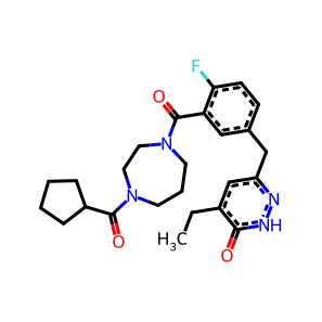 CCc1cc(Cc2ccc(F)c(C(=O)N3CCCN(C(=O)C4CCCC4)CC3)c2)n[nH]c1=O